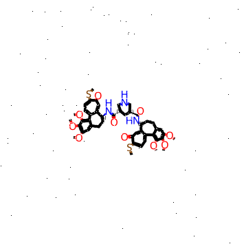 COc1cc2c(c(OC)c1OC)-c1ccc(SC)c(=O)cc1[C@@H](NC(=O)[C@@H]1CNC[C@@H](C(=O)N[C@H]3CCc4cc(OC)c(OC)c(OC)c4-c4ccc(SC)c(=O)cc43)C1)CC2